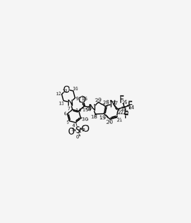 CS(=O)(=O)c1ccc(N2CCOCC2)c(C(=O)N2Cc3ccc(C(F)(F)F)nc3C2)c1